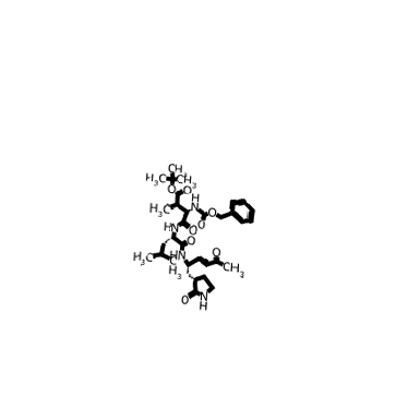 CC(=O)/C=C/[C@H](C[C@@H]1CCNC1=O)NC(=O)[C@H](CC(C)C)NC(=O)[C@@H](NC(=O)OCc1ccccc1)C(C)C(=O)OC(C)(C)C